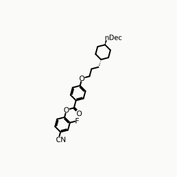 CCCCCCCCCC[C@H]1CC[C@H](CCCOc2ccc(C(=O)Oc3ccc(C#N)cc3F)cc2)CC1